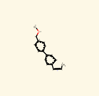 C/C=C\c1ccc(-c2ccc(COCC)cc2)cc1